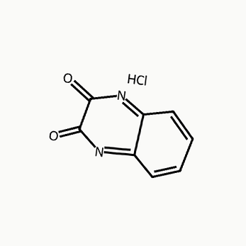 Cl.O=C1N=c2ccccc2=NC1=O